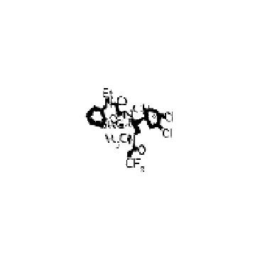 CCN(C(=O)C(=O)N(C)[C@](CC=O)(CN(C)C(=O)CC(F)(F)F)c1ccc(Cl)c(Cl)c1)c1ccccc1